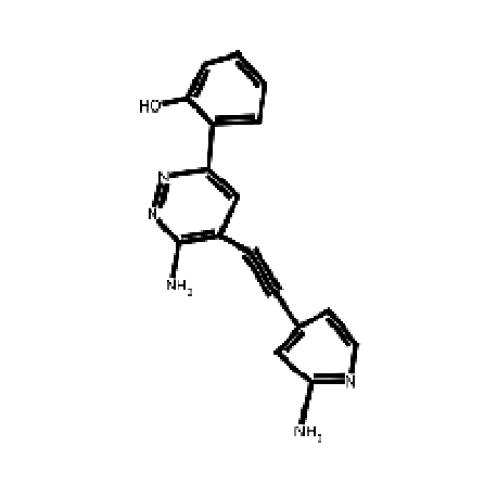 Nc1cc(C#Cc2cc(-c3ccccc3O)nnc2N)ccn1